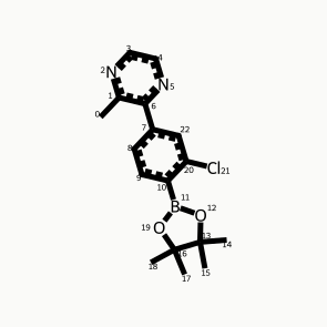 Cc1nccnc1-c1ccc(B2OC(C)(C)C(C)(C)O2)c(Cl)c1